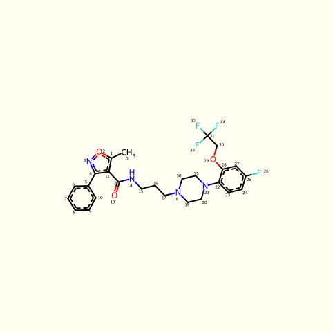 Cc1onc(-c2ccccc2)c1C(=O)NCCCN1CCN(c2ccc(F)cc2OCC(F)(F)F)CC1